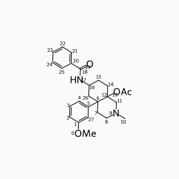 COc1cccc(C23CCN(C)CC2(OC(C)=O)CCC(NC(=O)c2ccccc2)C3)c1